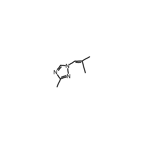 CC(C)=Cn1cnc(C)n1